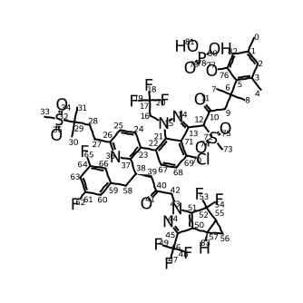 Cc1cc(C)c(C(C)(C)CC(=O)C(c2nn(CC(F)(F)F)c3c(-c4ccc(CCC(C)(C)S(C)(=O)=O)nc4[C@@H](CC(=O)Cn4nc(C(F)(F)F)c5c4C(F)(F)C4C[C@H]54)Cc4cc(F)cc(F)c4)ccc(Cl)c23)S(C)(=O)=O)c(OP(=O)(O)O)c1